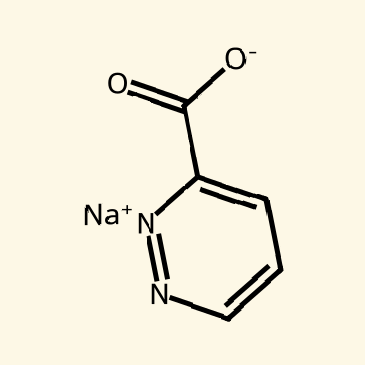 O=C([O-])c1cccnn1.[Na+]